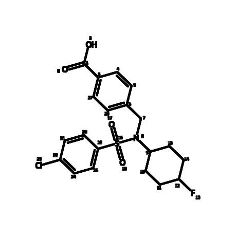 O=C(O)c1ccc(CN(C2CCC(F)CC2)S(=O)(=O)c2ccc(Cl)cc2)cc1